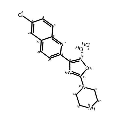 Cl.Cl.Clc1ccc2nc(-c3noc(N4CCNCC4)n3)ccc2c1